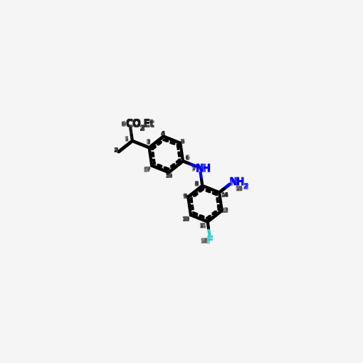 CCOC(=O)C(C)c1ccc(Nc2ccc(F)cc2N)cc1